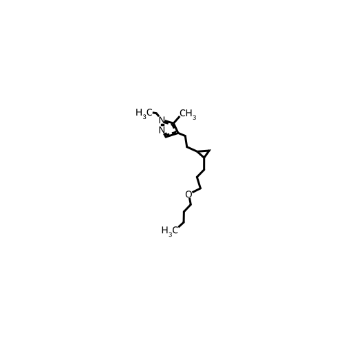 CCCCOCCCC1CC1CCc1cnn(CC)c1C